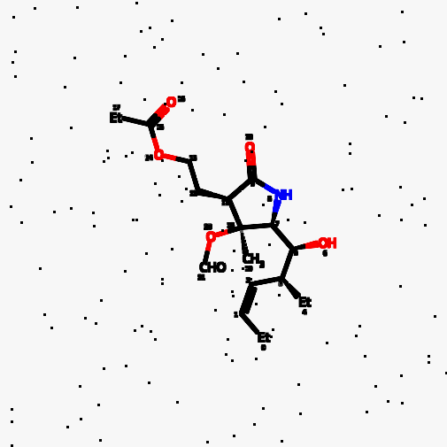 CC/C=C\[C@H](CC)[C@H](O)[C@@H]1NC(=O)[C@H](CCOC(=O)CC)[C@]1(C)OC=O